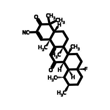 C[C@@H]1[C@H]2[C@H]3C(=O)C=C4[C@@]5(C)C=C(C#N)C(=O)C(C)(C)[C@@H]5CC[C@@]4(C)[C@]3(C)CC[C@@]2(F)CC[C@H]1C